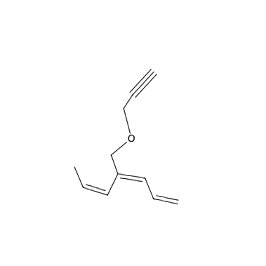 C#CCOCC(/C=C\C)=C/C=C